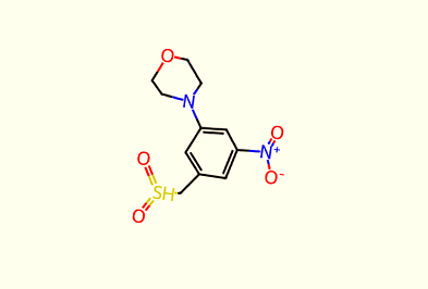 O=[N+]([O-])c1cc(C[SH](=O)=O)cc(N2CCOCC2)c1